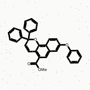 COC(=O)c1cc2cc(Oc3ccccc3)ccc2c2c1C=CC(c1ccccc1)(c1ccccc1)O2